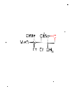 CCC(OC)(C1(C)COC1)[Si](CC)(OC)OC